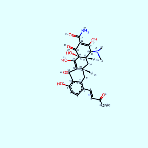 COC(=O)/C=C/c1ccc(O)c2c1C[C@H]1C[C@H]3[C@H](N(C)C)C(O)=C(C(N)=O)C(=O)[C@@]3(O)C(O)=C1C2=O